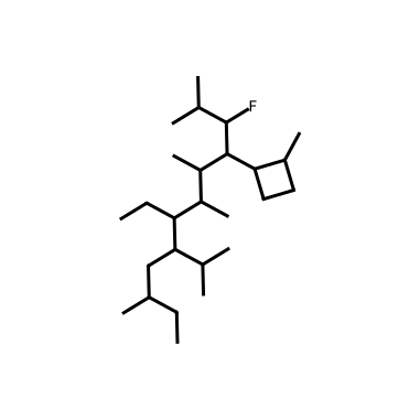 CCC(C)CC(C(C)C)C(CC)C(C)C(C)C(C(F)C(C)C)C1CCC1C